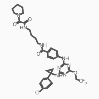 O=C(NCCCCNC(=O)c1ccc(Nc2nc(NC3(c4ccc(Cl)cc4)CC3)nc(OCC(F)(F)F)n2)cc1)C(=O)N1CCCCC1